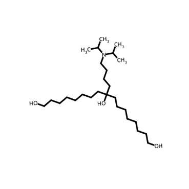 CC(C)N(CCCCC(O)(CCCCCCCCO)CCCCCCCCO)C(C)C